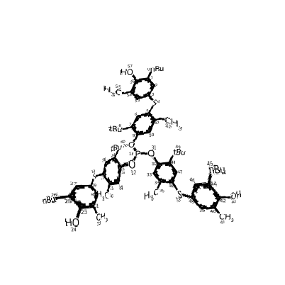 CCCCc1cc(Sc2cc(C(C)(C)C)c(OP(Oc3cc(C)c(Sc4cc(C)c(O)c(CCCC)c4)cc3C(C)(C)C)Oc3cc(C)c(Sc4cc(C)c(O)c(CCCC)c4)cc3C(C)(C)C)cc2C)cc(C)c1O